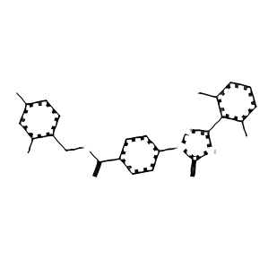 Cc1cc(F)ccc1CNC(=O)c1ccc(-n2nc(-c3c(F)cccc3Cl)[nH]c2=O)cc1